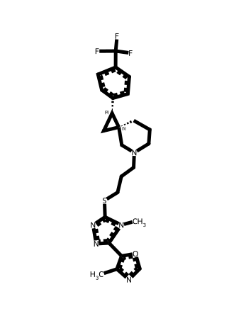 Cc1ncoc1-c1nnc(SCCCN2CCC[C@@]3(C[C@@H]3c3ccc(C(F)(F)F)cc3)C2)n1C